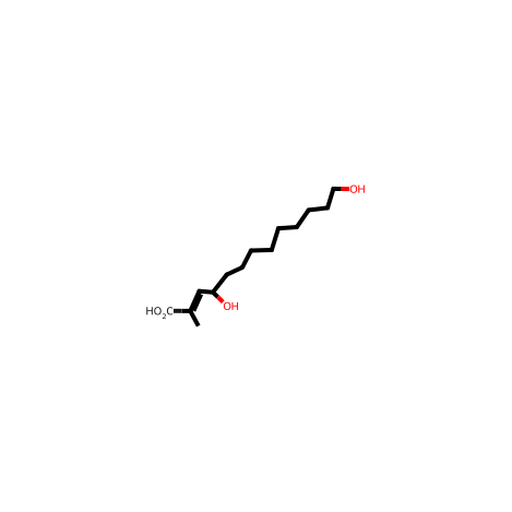 CC(=CC(O)CCCCCCCCCO)C(=O)O